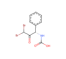 O=C(O)N[C@H](C(=O)C(Br)Br)c1ccccc1